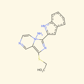 N[N+]12C=CN=CC1=C(SCC(=O)O)N=C2c1cc2ccccc2[nH]1